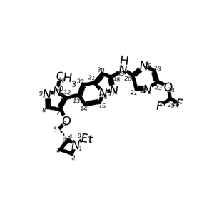 CCN1CC[C@@H]1COc1cnn(C)c1-c1ccn2nc(Nc3cnc(OC(F)F)cn3)cc2c1